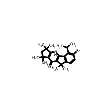 CC(C)c1c(Br)ccc2c1-c1[nH]c3c(c(=O)c1C2(C)C)C(C)(C)CC3(C)C